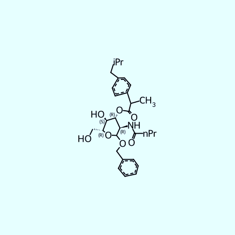 CCCC(=O)N[C@H]1C(OCc2ccccc2)O[C@H](CO)[C@@H](O)[C@@H]1OC(=O)C(C)c1ccc(CC(C)C)cc1